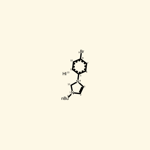 CCCCN1C=CN(c2ccc(Br)cc2)C1.I